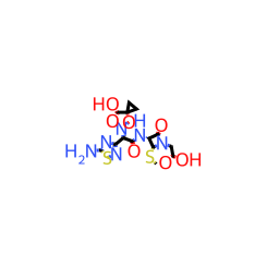 CSC1[C@H](NC(=O)/C(=N\OC2(C(=O)O)CC2)c2nsc(N)n2)C(=O)N1CC(=O)O